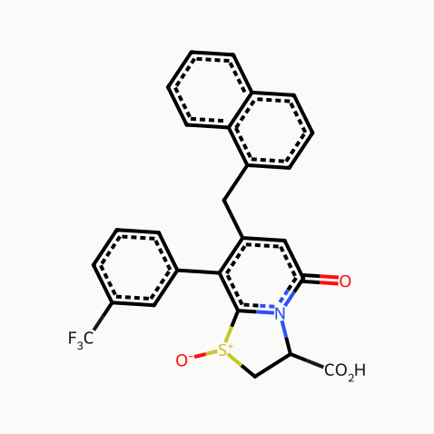 O=C(O)C1C[S+]([O-])c2c(-c3cccc(C(F)(F)F)c3)c(Cc3cccc4ccccc34)cc(=O)n21